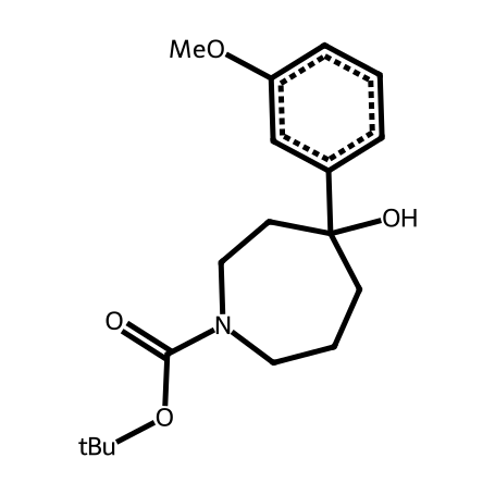 COc1cccc(C2(O)CCCN(C(=O)OC(C)(C)C)CC2)c1